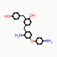 Nc1ccc(Oc2ccc(Cc3ccc(O)c(Cc4ccc(O)cc4)c3)c(N)c2)cc1